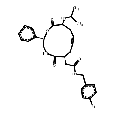 CC(C)N[C@H]1CC=CC[C@@H](CC(=O)NCc2ccc(Cl)cc2)C(=O)NC[C@@H](c2ccccc2)OC1=O